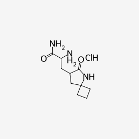 Cl.NC(=O)C(N)CC1CC2(CCC2)NC1=O